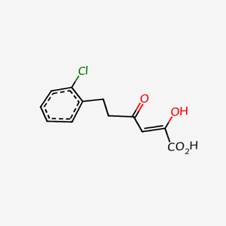 O=C(/C=C(\O)C(=O)O)CCc1ccccc1Cl